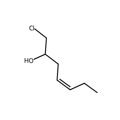 CC/C=C\CC(O)CCl